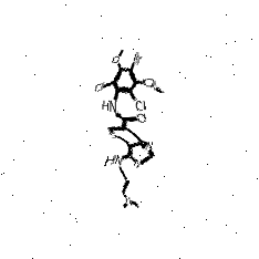 COc1c(Cl)c(NC(=O)c2csc3c(NCCN(C)C)ncnc23)c(Cl)c(OC)c1Br